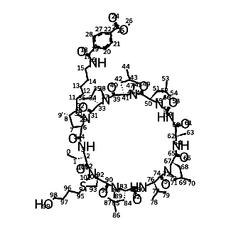 CC[C@@H]1NC(=O)C(C[C@H](C)CCCCCCNC(=O)c2ccc(C(=O)OC)cc2)N(C)C(=O)[C@H](C(C)C)N(C)C(=O)[C@H](CC(C)C)N(C)C(=O)[C@@H](CC(C)C)N(C)C(=O)NC(=O)[C@@H](C)NC(=O)[C@@H](CC(C)C)N(C)C(=O)[C@@H](C(C)C)NC(=O)[C@H](CC(C)C)N(C)C(=O)[C@@H](CSCCCCO)N(C)C1=O